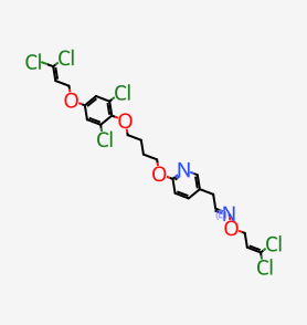 ClC(Cl)=CCO/N=C/Cc1ccc(OCCCCOc2c(Cl)cc(OCC=C(Cl)Cl)cc2Cl)nc1